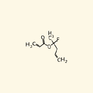 C=CCC(C)(F)OC(=O)C=C